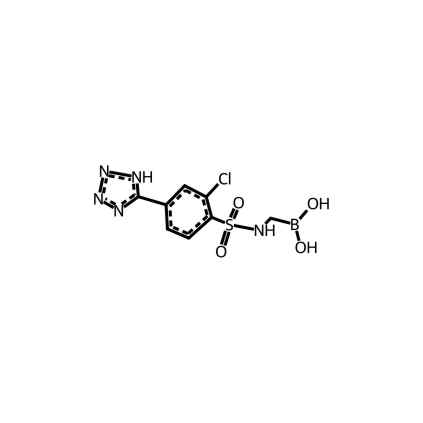 O=S(=O)(NCB(O)O)c1ccc(-c2nnn[nH]2)cc1Cl